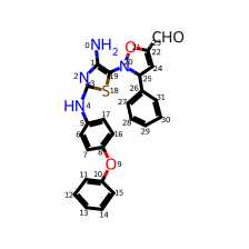 Nc1nc(Nc2ccc(Oc3ccccc3)cc2)sc1N1OC(C=O)=CC1c1ccccc1